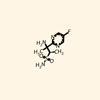 C[C@H](C(C)(N)c1ncc(F)cn1)S(N)(=O)=O